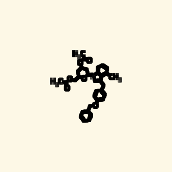 CC(=O)OCC1CC(OC(C)=O)CC(n2cc(Cc3ccc(OCc4ccccc4)cc3)c3c(C)cccc32)O1